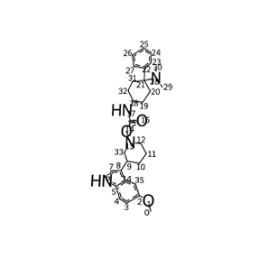 COc1ccc2[nH]cc(C3CCCN(OC(=O)NC4CCC(c5ccccc5)(N(C)C)CC4)C3)c2c1